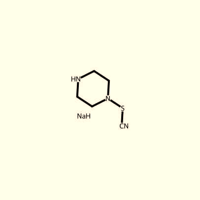 N#CSN1CCNCC1.[NaH]